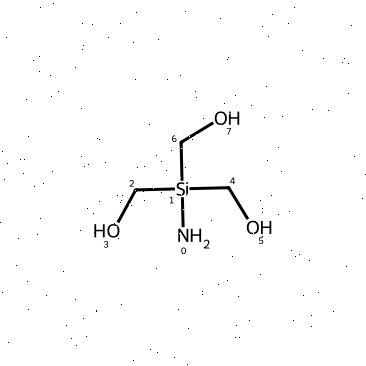 N[Si](CO)(CO)CO